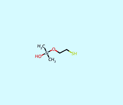 C[Si](C)(O)OCCS